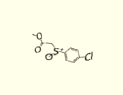 COC(=O)C[S+]([O-])c1ccc(Cl)cc1